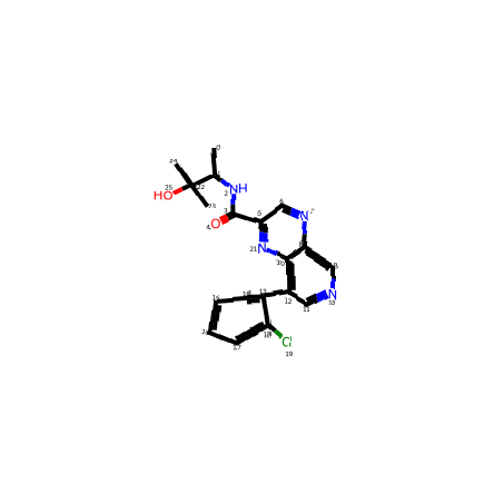 CC(NC(=O)c1cnc2cncc(-c3ccccc3Cl)c2n1)C(C)(C)O